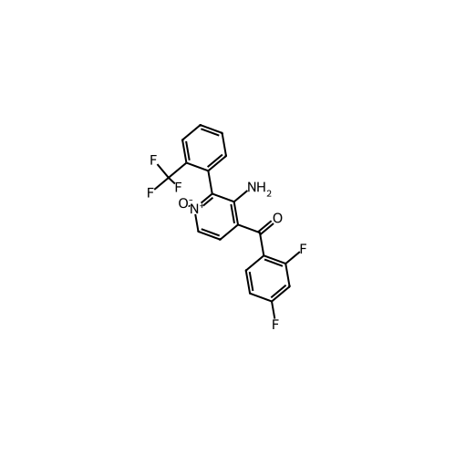 Nc1c(C(=O)c2ccc(F)cc2F)cc[n+]([O-])c1-c1ccccc1C(F)(F)F